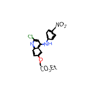 CCOC(=O)COc1ccc2nc(Cl)cc(Nc3ccc([N+](=O)[O-])cc3)c2c1